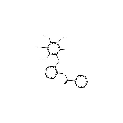 COc1c(C)c(Cc2cnccc2OC(=O)c2ccccc2)c(OC)c(OC)c1OC